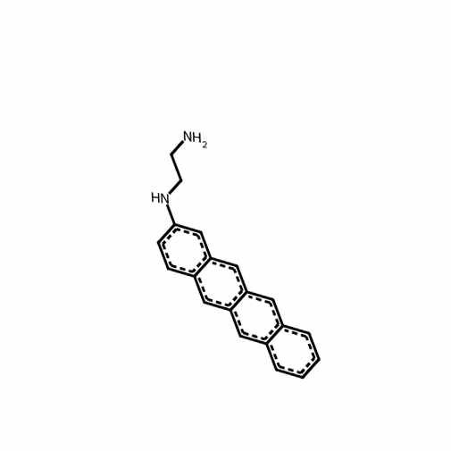 NCCNc1ccc2cc3cc4ccccc4cc3cc2c1